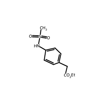 CCOC(=O)Cc1ccc(NS(C)(=O)=O)cc1